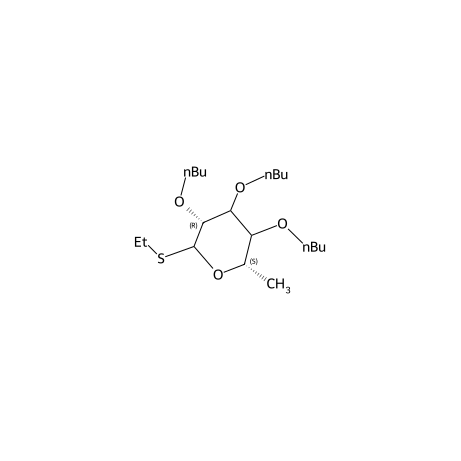 CCCCOC1C(OCCCC)[C@H](C)OC(SCC)[C@@H]1OCCCC